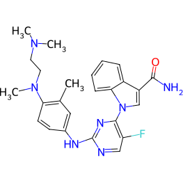 Cc1cc(Nc2ncc(F)c(-n3cc(C(N)=O)c4ccccc43)n2)ccc1N(C)CCN(C)C